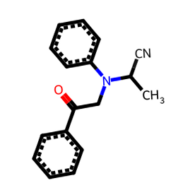 CC(C#N)N(CC(=O)c1ccccc1)c1ccccc1